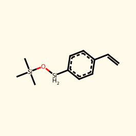 C=Cc1ccc([SiH2]O[Si](C)(C)C)cc1